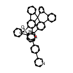 O=S1(=O)c2ccccc2-c2cc3c(cc21)-c1ccccc1C31c2ccccc2-c2ccccc2-c2ccc(-c3nc(-c4ccccc4)cc(-c4ccc(-c5cccnc5)cc4)n3)cc21